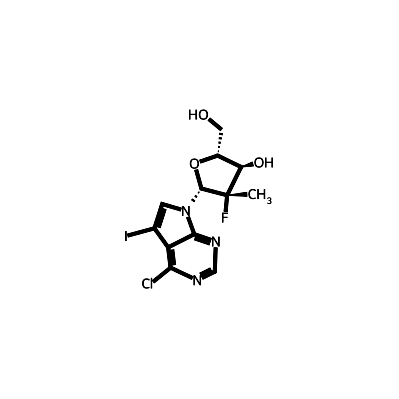 C[C@]1(F)[C@H](O)[C@@H](CO)O[C@H]1n1cc(I)c2c(Cl)ncnc21